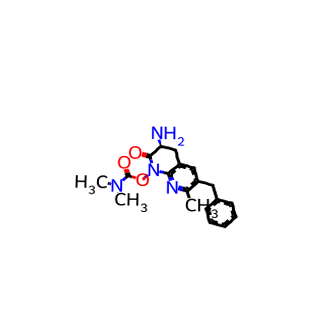 Cc1nc2c(cc1Cc1ccccc1)C[C@H](N)C(=O)N2OC(=O)N(C)C